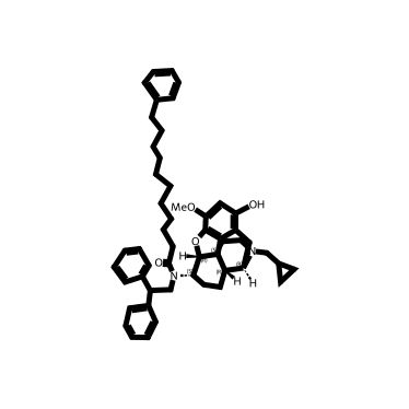 COc1cc(O)c2c3c1O[C@H]1[C@@H](N(CC(c4ccccc4)c4ccccc4)C(=O)CCCCCCCCCCc4ccccc4)CC[C@H]4[C@@H](C2)N(CC2CC2)CC[C@@]341